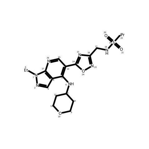 CCn1ncc2c(NC3CCOCC3)c(-c3nc(CNS(=O)(=O)C(C)C)no3)cnc21